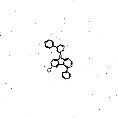 Clc1ccc2c(c1)c1c(-c3ccccc3)cccc1n2-c1cccc(-c2ccccc2)c1